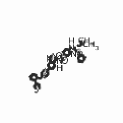 CN(C)CC[C@H](CSc1ccccc1)Nc1ccc(S(=O)(=O)Nc2ncnc3cc(N4CCN(Cc5ccccc5-c5ccsc5)CC4)ccc23)cc1[N+](=O)[O-]